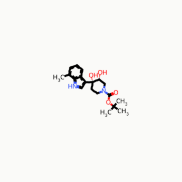 Cc1cccc2c([C@]3(O)CCN(C(=O)OC(C)(C)C)C[C@H]3O)c[nH]c12